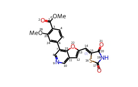 COC(=O)c1ccc(-c2cncc3cc(/C=C4\SC(=O)NC4=O)oc23)cc1OC